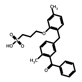 Cc1ccc(Cc2ccc(C)c(C(=O)c3ccccc3)c2)c(OCCCS(=O)(=O)O)c1